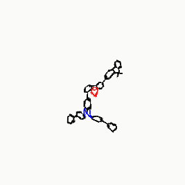 CC1(C)c2ccccc2-c2ccc(-c3ccc4oc5c(-c6ccc(N(c7ccc(-c8ccccc8)cc7)c7ccc(-c8ccccc8)cc7)cc6)cccc5c4c3)cc21